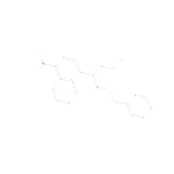 NCCC(C(=O)OCc1ccccc1)c1ccc(C(=O)O)c2ccccc12